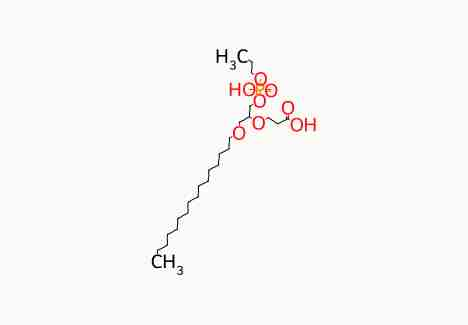 CCCCCCCCCCCCCCCCOCC(COP(=O)(O)OCCC)OCCC(=O)O